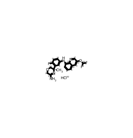 C[C@@]1(c2cc(Nc3cccc4cc(OC(F)F)cnc34)ccc2F)COCC(N)=N1.Cl